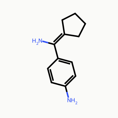 NC(=C1CCCC1)c1ccc(N)cc1